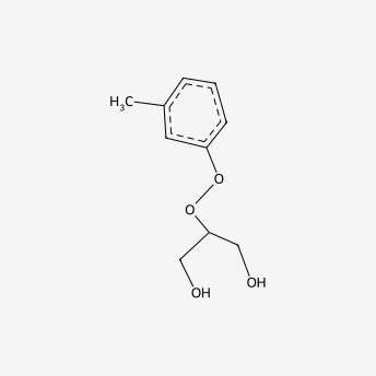 Cc1cccc(OOC(CO)CO)c1